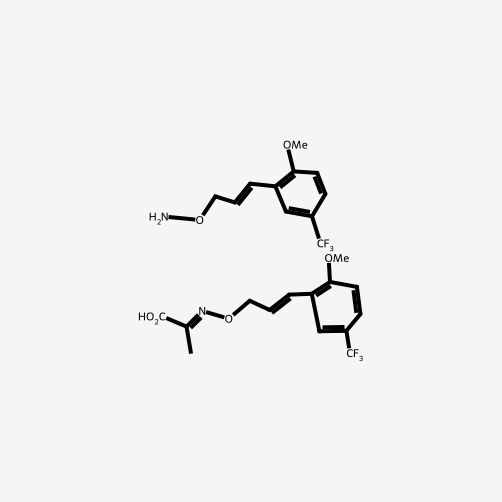 COc1ccc(C(F)(F)F)cc1C=CCON.COc1ccc(C(F)(F)F)cc1C=CCON=C(C)C(=O)O